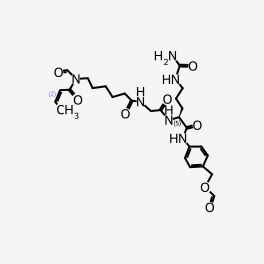 C/C=C\C(=O)N(C=O)CCCCCC(=O)NCC(=O)N[C@@H](CCCNC(N)=O)C(=O)Nc1ccc(COC=O)cc1